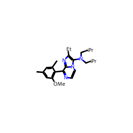 CCc1nc2c(-c3c(C)cc(C)cc3OC)nccn2c1N(CC(C)C)CC(C)C